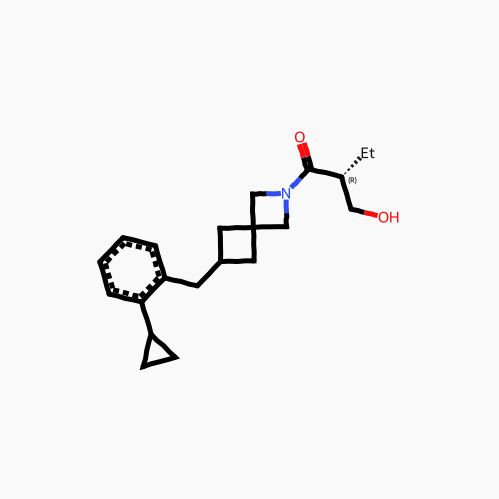 CC[C@H](CO)C(=O)N1CC2(CC(Cc3ccccc3C3CC3)C2)C1